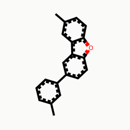 Cc1cccc(-c2ccc3oc4ccc(C)cc4c3c2)c1